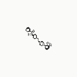 O=C(NC1CCC(CCN2CCN(c3cccc4c3OCO4)CC2)CC1)c1cccnc1